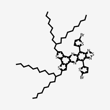 CCCCCCCCCCC(CCCCCCCC)Cc1cc2c3nc4c(-c5ccc(Br)s5)c5nsnc5c(-c5ccc(Br)s5)c4nc3c3cc(CC(CCCCCCCC)CCCCCCCCCC)sc3c2s1